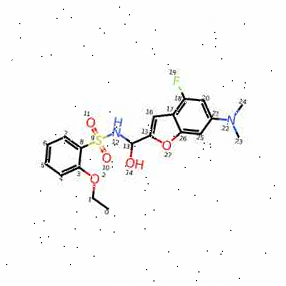 CCOc1ccccc1S(=O)(=O)NC(O)c1cc2c(F)cc(N(C)C)cc2o1